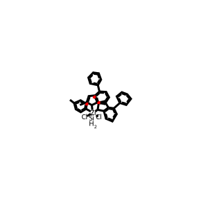 CC1=Cc2c(-c3ccccc3)cccc2[CH]1[Zr](=[SiH2])([Cl])([Cl])([c]1ccc(C)cc1)[CH]1C(C)=Cc2c(-c3ccccc3)cccc21